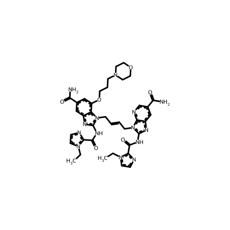 CCn1ccnc1C(=O)Nc1nc2cc(C(N)=O)cnc2n1CC=CCn1c(NC(=O)c2nccn2CC)nc2cc(C(N)=O)cc(OCCCN3CCOCC3)c21